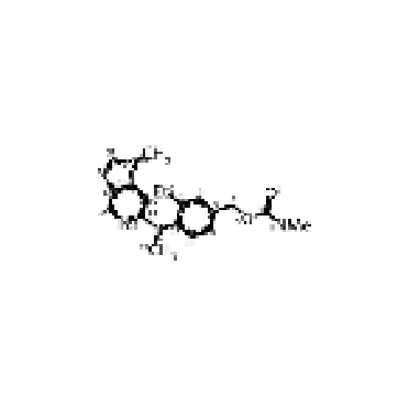 CCc1cc(COC(=O)NC)ccc1N(C)c1cc2c(cn1)ncn2C